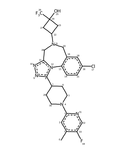 Cc1cc(N2CCC(c3nnc4n3-c3ccc(Cl)cc3CN(C3CC(O)(C(F)(F)F)C3)C4)CC2)ncc1F